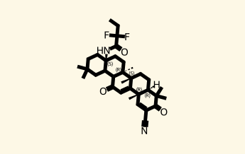 CCC(F)(F)C(=O)N[C@]12CCC(C)(C)CC1C1C(=O)C=C3[C@@]4(C)C=C(C#N)C(=O)C(C)(C)[C@@H]4CC[C@@]3(C)[C@]1(C)CC2